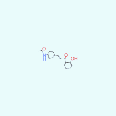 CC(=O)Nc1ccc(C=CC(=O)c2ccccc2O)cc1